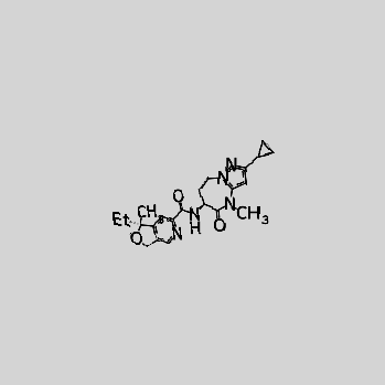 CC[C@@]1(C)OCc2cnc(C(=O)N[C@H]3CCn4nc(C5CC5)cc4N(C)C3=O)cc21